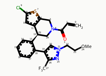 C=CC(=O)N1Cc2sc(Cl)cc2[C@H](c2ccccc2-c2cn(CCOC)nc2C(F)(F)F)C1